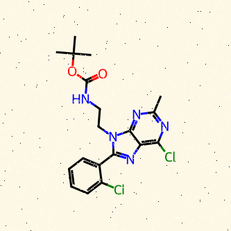 Cc1nc(Cl)c2nc(-c3ccccc3Cl)n(CCNC(=O)OC(C)(C)C)c2n1